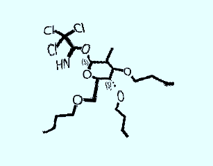 CCCCOCC1O[C@@H](OC(=N)C(Cl)(Cl)Cl)C(C)C(OCCCC)[C@@H]1OCCCC